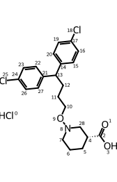 Cl.O=C(O)[C@@H]1CCCN(OCCCC(c2ccc(Cl)cc2)c2ccc(Cl)cc2)C1